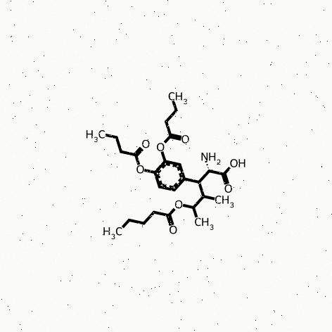 CCCCC(=O)OC(C)C(C)C(c1ccc(OC(=O)CCC)c(OC(=O)CCC)c1)[C@H](N)C(=O)O